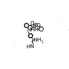 N=C/C=C(\N)c1ccc(Cn2cc(C(=O)N[C@H]3CCCC[C@@H]3O)c(=O)c3ccccc32)cc1